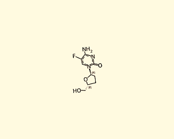 Nc1nc(=O)n([C@H]2CC[C@H](CO)O2)cc1F